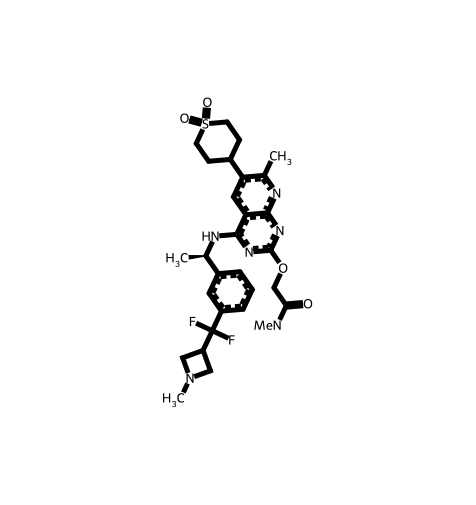 CNC(=O)COc1nc(N[C@H](C)c2cccc(C(F)(F)C3CN(C)C3)c2)c2cc(C3CCS(=O)(=O)CC3)c(C)nc2n1